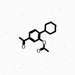 CC(=O)Oc1cc(C(C)=O)ccc1C1CCCCC1